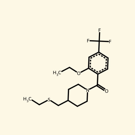 CCOc1cc(C(F)(F)F)ccc1C(=O)N1CCC(CSCC)CC1